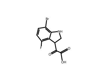 O=C(O)C(=O)C1CNc2c(Br)ccc(F)c21